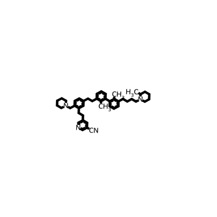 Cc1c(CCCCN2CCCCC2C)cccc1-c1cccc(CCc2ccc(CN3CCCCC3)c(CCc3cncc(C#N)c3)c2)c1C